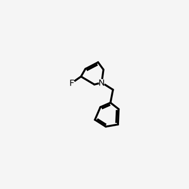 FC1C=CCN(Cc2ccccc2)C1